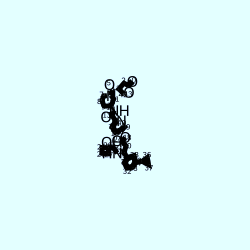 O=C1C[C@@H](C(=O)N2CCC[C@H](NC(=O)c3ccc(OCCC(NC(=O)C4(O)CCC4)c4cccc(C5CC5)c4)cn3)C2)CO1